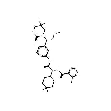 COC[C@H](c1ccnc(NC(=O)[C@@H](NC(=O)c2nonc2C)C2CCC(F)(F)CC2)c1)N1CC(F)(F)CNC1=O